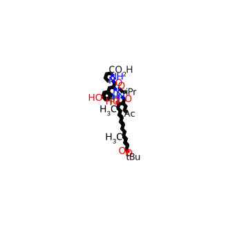 CC(=O)CCC(C(=O)NC(C(=O)NC(Cc1cc(O)cc(F)c1)C(=O)N1CCCC(C(=O)O)N1)C(C)C)C(O)C(C)C/C=C/C=C/CC/C(C)=C/C=C/C(=O)OC(C)(C)C